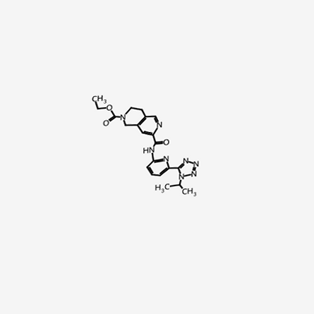 CCOC(=O)N1CCc2cnc(C(=O)Nc3cccc(-c4nnnn4C(C)C)n3)cc2C1